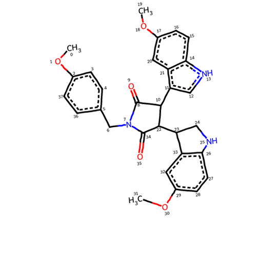 COc1ccc(CN2C(=O)C(c3c[nH]c4ccc(OC)cc34)C(C3CNc4ccc(OC)cc43)C2=O)cc1